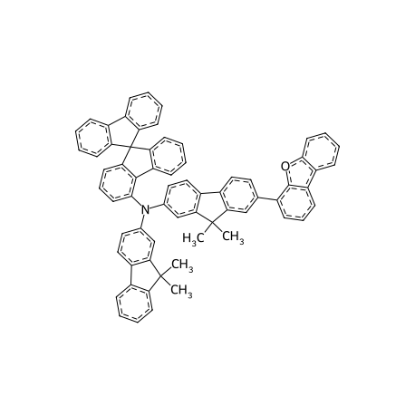 CC1(C)c2ccccc2-c2ccc(N(c3ccc4c(c3)C(C)(C)c3cc(-c5cccc6c5oc5ccccc56)ccc3-4)c3cccc4c3-c3ccccc3C43c4ccccc4-c4ccccc43)cc21